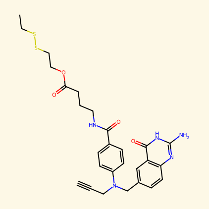 C#CCN(Cc1ccc2nc(N)[nH]c(=O)c2c1)c1ccc(C(=O)NCCCC(=O)OCCSSCC)cc1